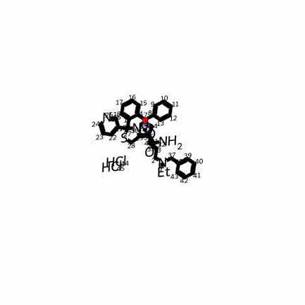 CCN(CCCO/N=C(\c1ccccc1)c1ccccc1C1(c2cccnc2)SCc2c(C(N)=O)ccn21)Cc1ccccc1.Cl.Cl